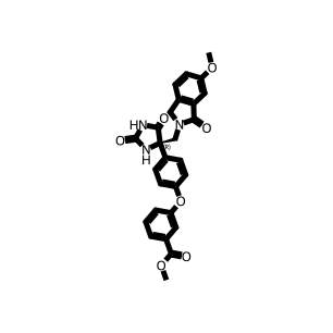 COC(=O)c1cccc(Oc2ccc([C@]3(CN4Cc5ccc(OC)cc5C4=O)NC(=O)NC3=O)cc2)c1